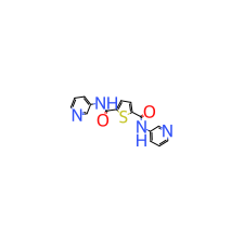 O=C(Nc1cccnc1)c1ccc(C(=O)Nc2cccnc2)s1